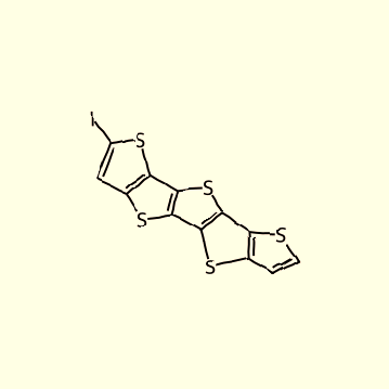 Ic1cc2sc3c(sc4c5sccc5sc43)c2s1